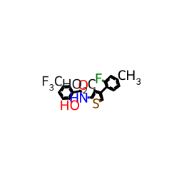 Cc1ccc(-c2csc(NC(=O)c3cc(C(F)(F)F)ccc3O)c2C(=O)O)c(F)c1